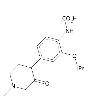 CC(C)Oc1cc(C2CCN(C)CC2=O)ccc1NC(=O)O